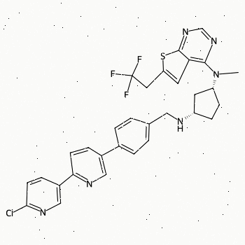 CN(c1ncnc2sc(CC(F)(F)F)cc12)[C@@H]1CC[C@H](NCc2ccc(-c3ccc(-c4ccc(Cl)nc4)nc3)cc2)C1